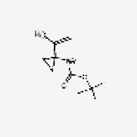 C=C(O)C1(NC(=O)OC(C)(C)C)CC1